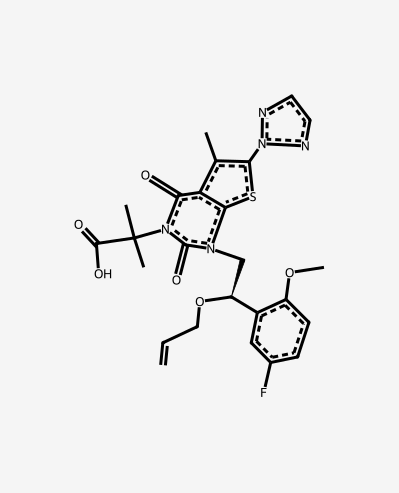 C=CCO[C@@H](Cn1c(=O)n(C(C)(C)C(=O)O)c(=O)c2c(C)c(-n3nccn3)sc21)c1cc(F)ccc1OC